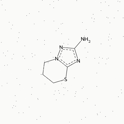 Nc1nc2n(n1)C[CH]CS2